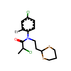 CCc1cc(Cl)ccc1N(CCC1SCCCS1)C(=O)C(C)Cl